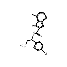 Cc1cccc2cc(C(=O)NC(CC(=O)O)c3ccc(Cl)cc3)[nH]c12